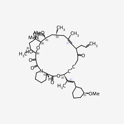 C=CCC1/C=C(\C)C[C@H](C)C[C@H](OC)[C@@]2(NC)O[C@@](O)(C(=O)C(=O)N3CCCC[C@H]3C(=O)O[C@H](/C(C)=C/C3CCC[C@H](OC)C3)CCCC1=O)[C@H](C)CC2OC